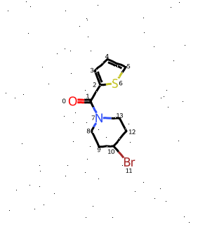 O=C(c1cccs1)N1CCC(Br)CC1